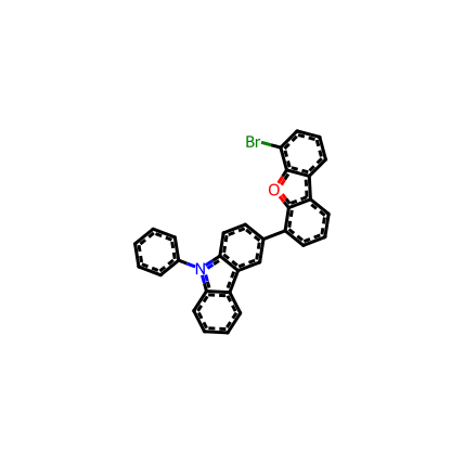 Brc1cccc2c1oc1c(-c3ccc4c(c3)c3ccccc3n4-c3ccccc3)cccc12